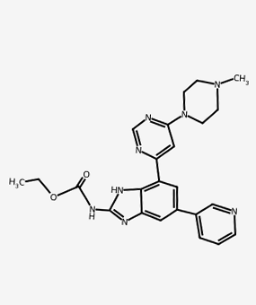 CCOC(=O)Nc1nc2cc(-c3cccnc3)cc(-c3cc(N4CCN(C)CC4)ncn3)c2[nH]1